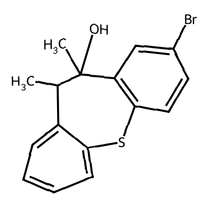 CC1c2ccccc2Sc2ccc(Br)cc2C1(C)O